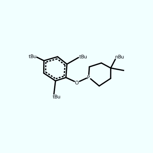 CCCCC1(C)CCP(Oc2c(C(C)(C)C)cc(C(C)(C)C)cc2C(C)(C)C)CC1